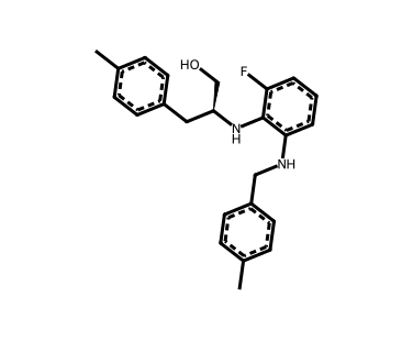 Cc1ccc(CNc2cccc(F)c2N[C@H](CO)Cc2ccc(C)cc2)cc1